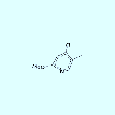 COc1cc(Cl)c(C)cn1